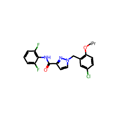 CC(C)Oc1ccc(Cl)cc1Cn1ccc(C(=O)Nc2c(F)cccc2F)n1